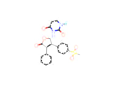 CS(=O)(=O)c1ccc(C2=C(c3ccccc3)C(=O)OC2)cc1.O=c1ccn(F)c(=O)[nH]1